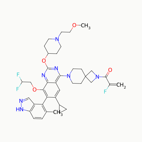 C=C(F)C(=O)N1CC2(CCN(c3nc(OC4CCN(CCOC)CC4)nc4c(OCC(F)F)c(-c5c(C)ccc6[nH]ncc56)c(C5CC5)cc34)CC2)C1